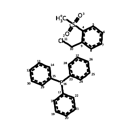 CS(=O)(=O)c1ccccc1CCl.c1ccc(P(c2ccccc2)c2ccccc2)cc1